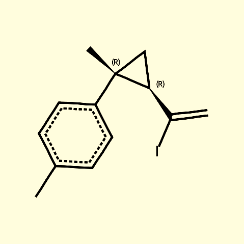 C=C(I)[C@@H]1C[C@@]1(C)c1ccc(C)cc1